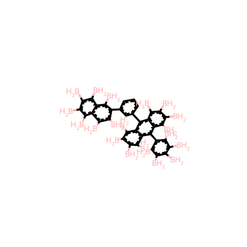 Bc1c(B)c(B)c(-c2c3c(B)c(B)c(B)c(B)c3c(-c3cccc(-c4c(B)c(B)c5c(B)c(B)c(B)c(B)c5c4B)c3)c3c(B)c(B)c(B)c(B)c23)c(B)c1B